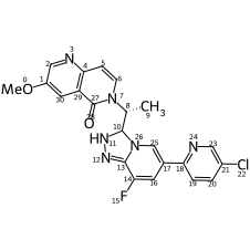 COc1cnc2ccn([C@H](C)C3NN=C4C(F)=CC(c5ccc(Cl)cn5)=CN43)c(=O)c2c1